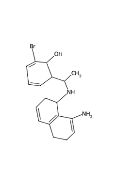 CC(NC1CC=CC2=C1C(N)=CCC2)C1C=CC=C(Br)C1O